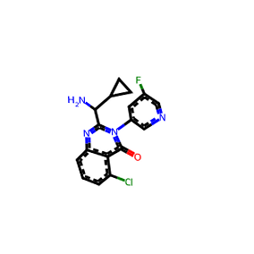 NC(c1nc2cccc(Cl)c2c(=O)n1-c1cncc(F)c1)C1CC1